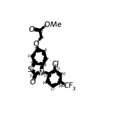 COC(=O)COc1ccc2c(c1)sc(=O)n2-c1ccc(C(F)(F)F)cc1Cl